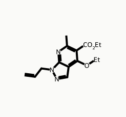 C=CCn1ncc2c(OCC)c(C(=O)OCC)c(C)nc21